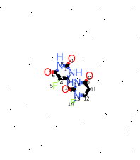 O=c1[nH]cc(F)c(=O)[nH]1.O=c1ccn(F)c(=O)[nH]1